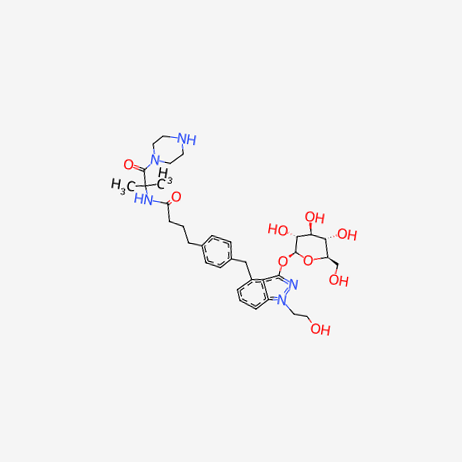 CC(C)(NC(=O)CCCc1ccc(Cc2cccc3c2c(O[C@@H]2O[C@H](CO)[C@@H](O)[C@H](O)[C@H]2O)nn3CCO)cc1)C(=O)N1CCNCC1